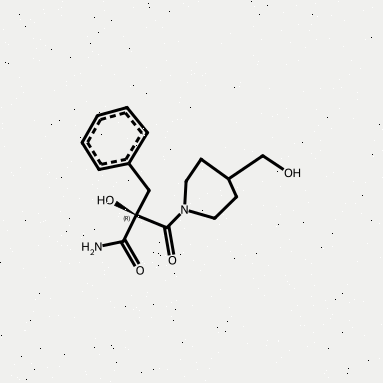 NC(=O)[C@](O)(Cc1ccccc1)C(=O)N1CCC(CO)CC1